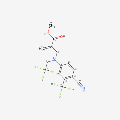 C=C(CN(CC(F)(F)F)c1ccc(C#N)c(C(F)(F)F)c1)C(=O)OC